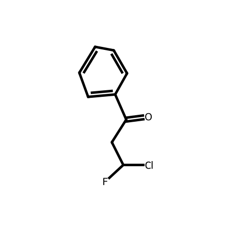 O=C(CC(F)Cl)c1ccccc1